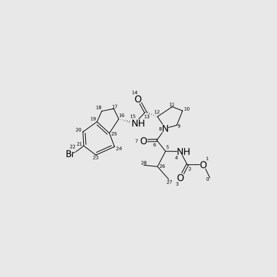 COC(=O)NC(C(=O)N1CCC[C@H]1C(=O)N[C@H]1CCc2cc(Br)ccc21)C(C)C